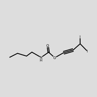 CCCCNC(=O)OC#CC(I)I